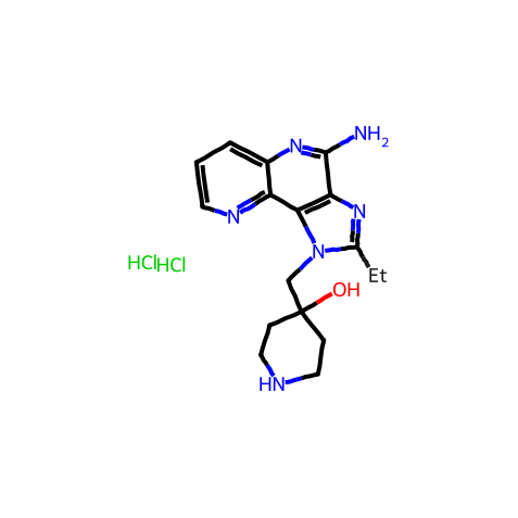 CCc1nc2c(N)nc3cccnc3c2n1CC1(O)CCNCC1.Cl.Cl